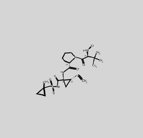 C=C[C@@H]1C[C@]1(NC(=O)[C@@H]1CCCN1C(=O)[C@@H](NCl)C(C)(C)C)C(=O)NS(=O)(=O)C1(C)CC1